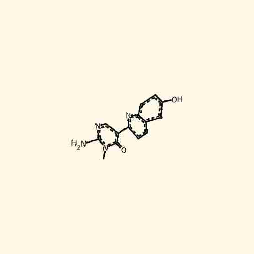 Cn1c(N)ncc(-c2ccc3cc(O)ccc3n2)c1=O